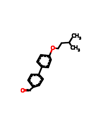 CC(C)CCOc1ccc(-c2ccc([C]=O)cc2)cc1